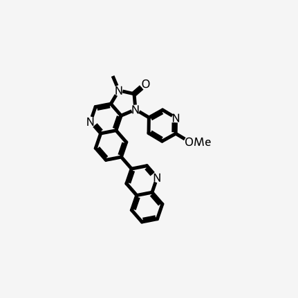 COc1ccc(-n2c(=O)n(C)c3cnc4ccc(-c5cnc6ccccc6c5)cc4c32)cn1